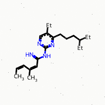 C/C=C\C(C)=C/C(=N)Nc1ncc(CC)c(CCCC(CC)CC)n1